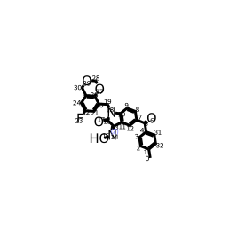 Cc1ccc(C(=O)c2ccc3c(c2)/C(=N/O)C(=O)N3Cc2cc(F)cc3c2OCOC3)cc1